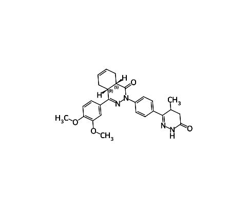 COc1ccc(C2=NN(c3ccc(C4=NNC(=O)CC4C)cc3)C(=O)[C@H]3CC=CC[C@@H]23)cc1OC